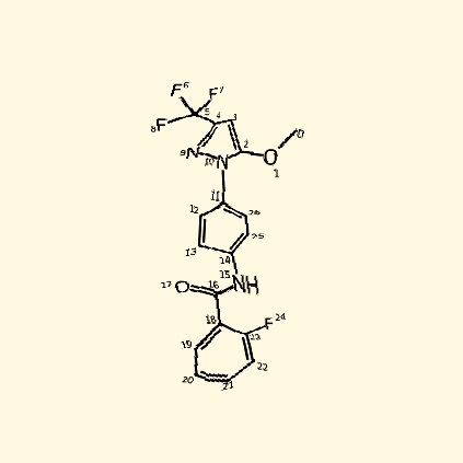 COc1cc(C(F)(F)F)nn1-c1ccc(NC(=O)c2ccccc2F)cc1